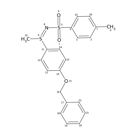 Cc1ccc(S(=O)(=O)N=S(C)c2ccc(OCc3ccccc3)cc2)cc1